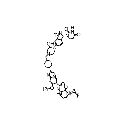 CC(C)Oc1cc2nc([C@H]3CC[C@H](CN4CC[C@H](c5ccc6c(N7CCC(=O)NC7=O)nn(C)c6c5)[C@H](O)C4)CC3)cn2cc1C(=O)Nc1cccn([C@H]2C[C@H]2F)c1=O